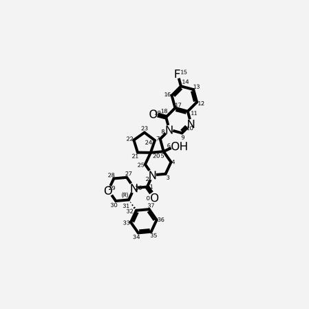 O=C(N1CCC(O)(Cn2cnc3ccc(F)cc3c2=O)C2(CCCC2)C1)N1CCOC[C@H]1c1ccccc1